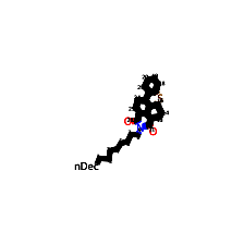 CCCCCCCCCCCCCCCCCCn1c(=O)c2ccc3sc4ccccc4c4ccc(c1=O)c2c34